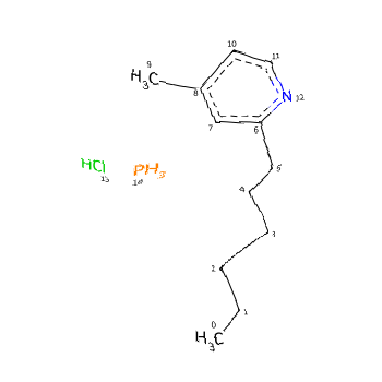 CCCCCCc1cc(C)ccn1.Cl.P